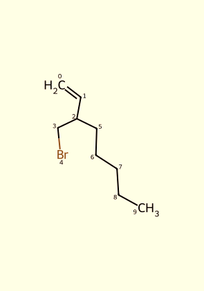 C=CC(CBr)CCCCC